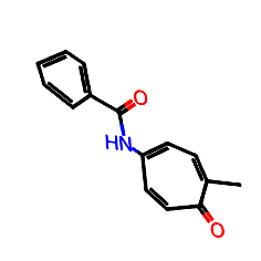 Cc1ccc(NC(=O)c2ccccc2)ccc1=O